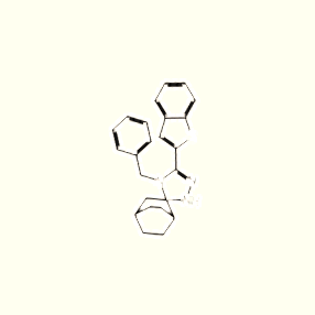 c1ccc(CN2C(c3cc4ccccc4s3)=NN[C@@]23CC2CCC3CC2)cc1